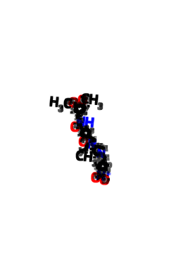 CCCC(=O)N(Cc1ccc(C(=O)NCc2ccc(OC)c(OC)c2)cc1)C1CCN(Cc2ccc([N+](=O)[O-])cc2)CC1